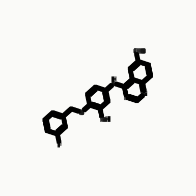 O=Cc1ccc2ncnc(Nc3ccc(OCc4cccc(F)c4)[c]([RaH])c3)c2c1